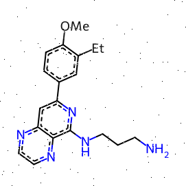 CCc1cc(-c2cc3nccnc3c(NCCCN)n2)ccc1OC